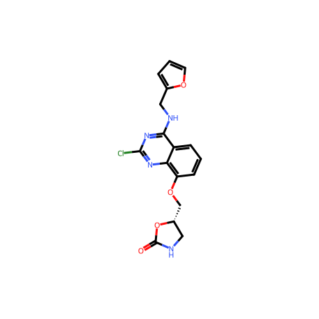 O=C1NC[C@@H](COc2cccc3c(NCc4ccco4)nc(Cl)nc23)O1